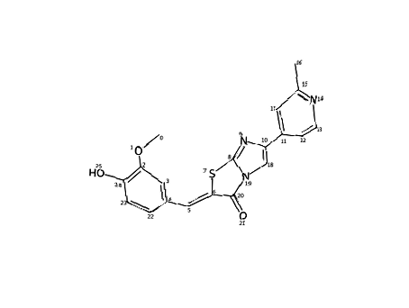 COc1cc(/C=c2\sc3nc(-c4ccnc(C)c4)cn3c2=O)ccc1O